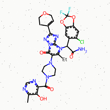 CCc1c(N2CCN(C(=O)c3ncnc(C)c3O)CC2)c(=O)n2nc(C3=CCOCC3)nc2n1C(C(N)=O)c1cc2c(cc1Cl)OC(F)(F)O2